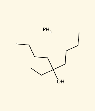 CCCCC(O)(CC)CCCC.P